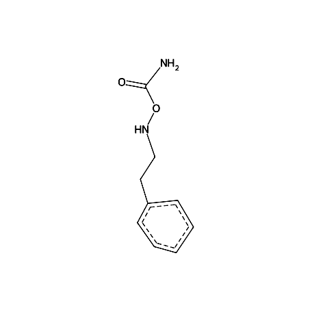 NC(=O)ONCCc1ccccc1